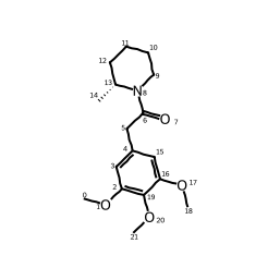 COc1cc(CC(=O)N2CCCC[C@H]2C)cc(OC)c1OC